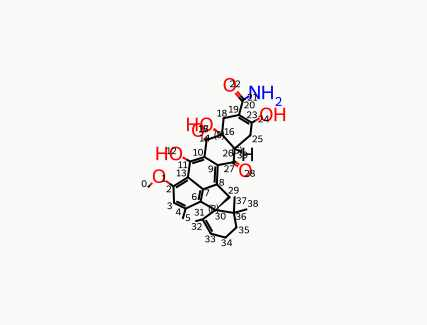 COc1cc(C)c2c3c(c4c(c(O)c13)C(=O)[C@]1(O)CC(C(N)=O)=C(O)C[C@@H]1C4=O)C[C@@]21C(C)=CCCC1(C)C